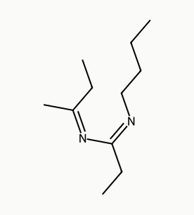 CCCC/N=C(CC)\N=C(\C)CC